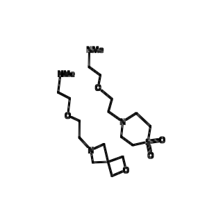 CNCCOCCN1CC2(COC2)C1.CNCCOCCN1CCS(=O)(=O)CC1